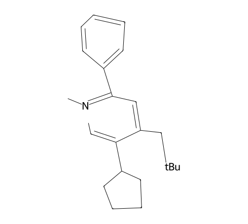 C\C=C(/C(=C\C(=N\C)c1ccccc1)CC(C)(C)C)C1CCCC1